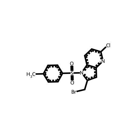 Cc1ccc(S(=O)(=O)n2c(CBr)cc3nc(Cl)ccc32)cc1